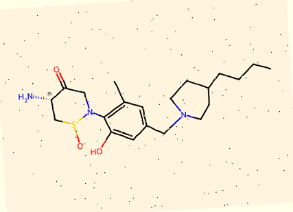 CCCCC1CCN(Cc2cc(C)c(N3CC(=O)[C@@H](N)C[S+]3[O-])c(O)c2)CC1